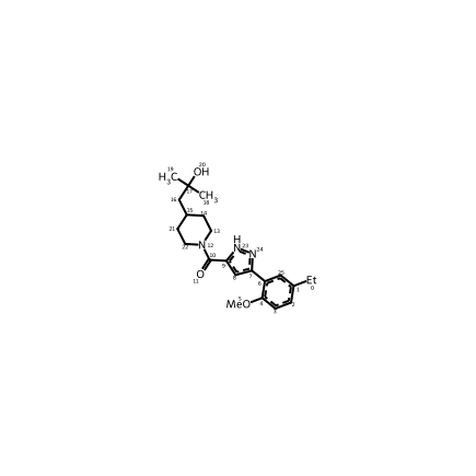 CCc1ccc(OC)c(-c2cc(C(=O)N3CCC(CC(C)(C)O)CC3)[nH]n2)c1